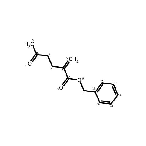 C=C(CCC(C)=O)C(=O)OCc1ccccc1